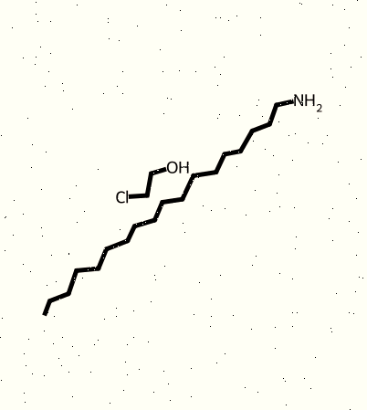 CCCCCCCCCCCCCCCCCCN.OCCCl